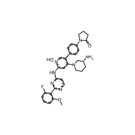 COc1cccc(F)c1-c1nccc(Nc2cc(N3CCC[C@H](N)C3)c(-c3ccc(N4CCCC4=O)cc3)cn2)n1.Cl